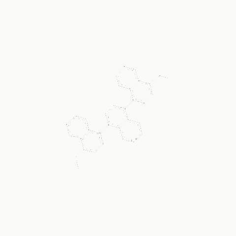 C[SiH2]c1ccc(-c2ccc(-c3ccc([SiH2]C)c4ccccc34)c3ccccc23)c2ccccc12